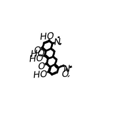 CON(C)Cc1ccc(O)c2c1CC1CC3C(N(C)C)C(O)=CC(=O)C3(O)C(O)=C1C2=O